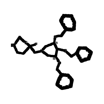 FC1(CN2C[C@H](OCc3ccccc3)C(OCc3ccccc3)[C@H](OCc3ccccc3)C2)CCNCC1